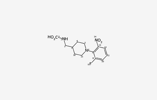 O=C(O)NCC1CCN(c2c(F)cccc2[N+](=O)[O-])CC1